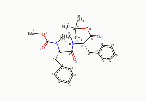 CN(C(=O)OC(C)(C)C)[C@@H](Cc1ccccc1)C(=O)N(C)[C@@H](Cc1ccccc1)C(=O)O[Si](C)(C)C